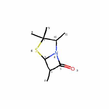 CC1C(=O)N2C1SC(C)(C)C2C